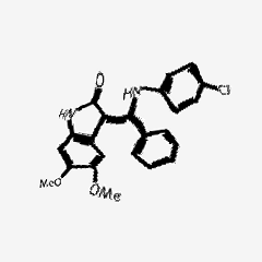 COc1cc2c(cc1OC)/C(=C(/Nc1ccc(Cl)cc1)c1ccccc1)C(=O)N2